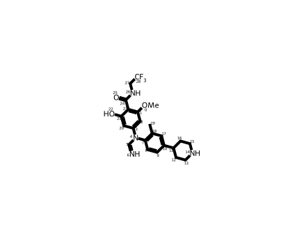 COc1cc(N(C=N)c2ccc(C3CCNCC3)cc2C)cc(O)c1C(=O)NCC(F)(F)F